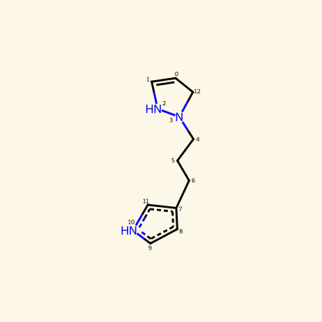 C1=CNN(CCCc2cc[nH]c2)C1